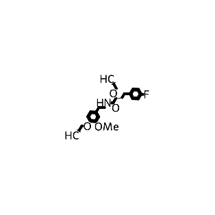 C#CCOc1ccc(CCNC(=O)[C@@H](CCc2ccc(F)cc2)OCC#C)cc1OC